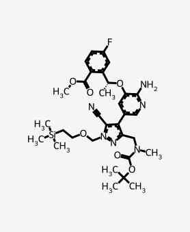 COC(=O)c1ccc(F)cc1[C@@H](C)Oc1cc(-c2c(CN(C)C(=O)OC(C)(C)C)nn(COCC[Si](C)(C)C)c2C#N)cnc1N